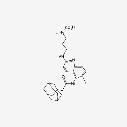 Cc1ccc2nc(NCCCN(C)C(=O)O)ccc2c1NC(=O)CC12CC3CC(CC(C3)C1)C2